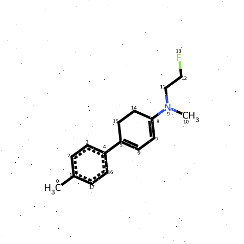 Cc1ccc(C2=CC=C(N(C)CCF)CC2)cc1